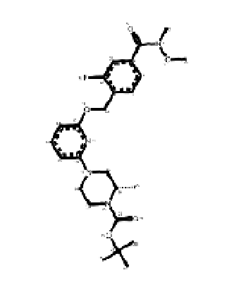 CON(C)C(=O)c1ccc(COc2cccc(N3CCN(C(=O)OC(C)(C)C)[C@@H](C)C3)n2)c(F)c1